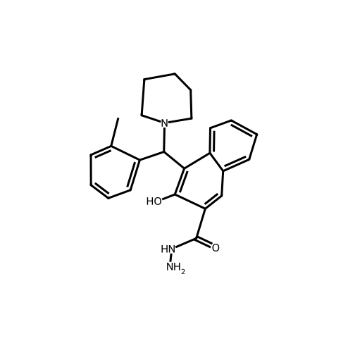 Cc1ccccc1C(c1c(O)c(C(=O)NN)cc2ccccc12)N1CCCCC1